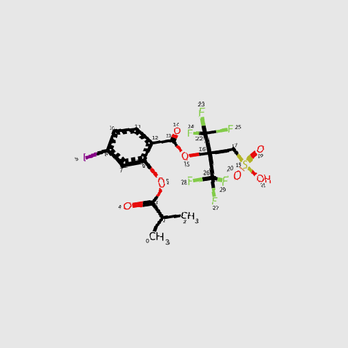 CC(C)C(=O)Oc1cc(I)ccc1C(=O)OC(CS(=O)(=O)O)(C(F)(F)F)C(F)(F)F